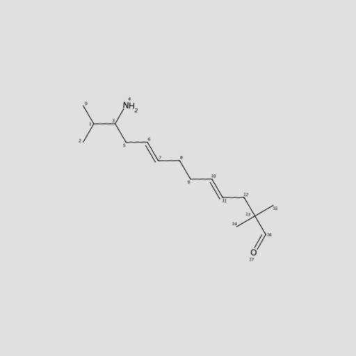 CC(C)C(N)C/C=C/CC/C=C/CC(C)(C)C=O